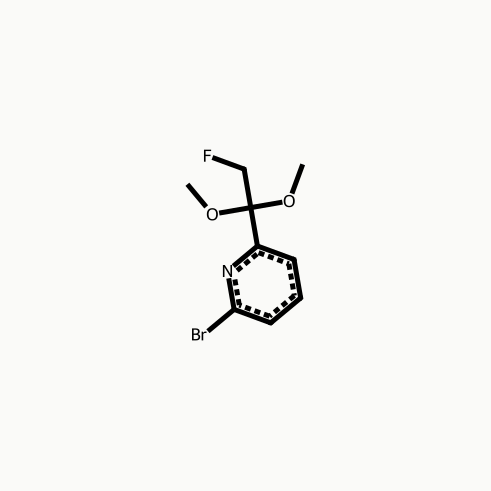 COC(CF)(OC)c1cccc(Br)n1